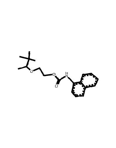 CC(OCCOC(=O)Nc1cccc2ccccc12)C(C)(C)C